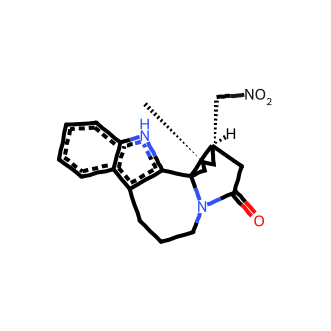 C[C@H]1CC23c4[nH]c5ccccc5c4CCCN2C(=O)C[C@H]3[C@@H]1C[N+](=O)[O-]